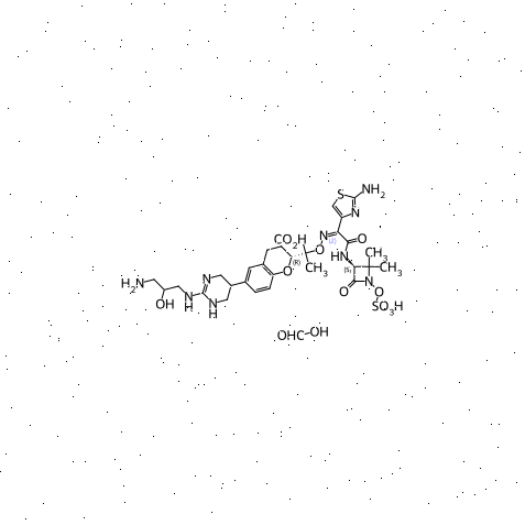 CC(O/N=C(\C(=O)N[C@@H]1C(=O)N(OS(=O)(=O)O)C1(C)C)c1csc(N)n1)(C(=O)O)[C@H]1CCc2cc(C3CN=C(NCC(O)CN)NC3)ccc2O1.O=CO